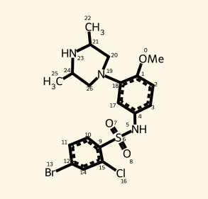 COc1ccc(NS(=O)(=O)c2ccc(Br)cc2Cl)cc1N1CC(C)NC(C)C1